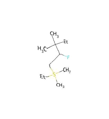 CCC(C)(C)C(F)CS(C)(C)CC